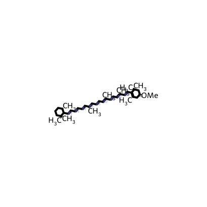 CO[C@@H]1CC(C)=C(/C=C/C(C)=C/C=C/C(C)=C/C=C/C=C(C)/C=C/C=C/C=C/C2C(C)CCCC2(C)C)C(C)(C)C1